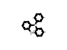 CC(=O)Oc1ccccc1P(c1ccccc1)c1ccccc1